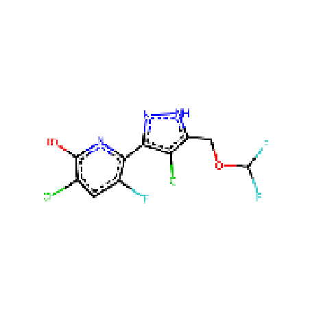 Oc1nc(-c2n[nH]c(COC(F)F)c2Cl)c(F)cc1Cl